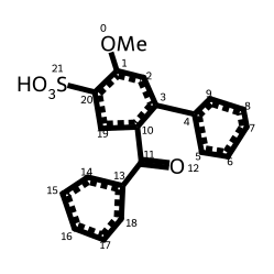 COc1cc(-c2ccccc2)c(C(=O)c2ccccc2)cc1S(=O)(=O)O